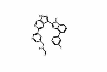 CCNCc1cncc(-c2cc3c(-c4cc5c(-c6cccc(F)c6)cccc5[nH]4)n[nH]c3cn2)c1